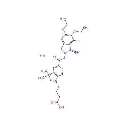 Br.CCOc1cc2c(c(F)c1OCC)C(=N)N(CC(=O)c1ccc3c(c1)C(C)(C)CN3CCCC(=O)O)C2